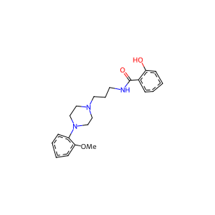 COc1ccccc1N1CCN(CCCNC(=O)c2ccccc2O)CC1